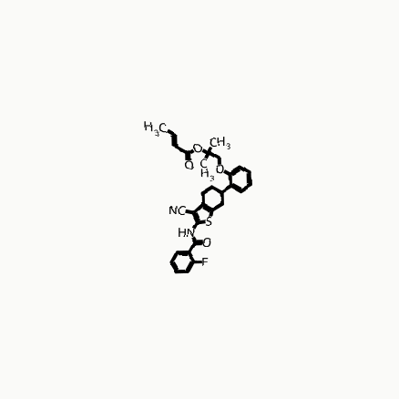 C/C=C/C(=O)OC(C)(C)COc1ccccc1C1CCc2c(sc(NC(=O)c3ccccc3F)c2C#N)C1